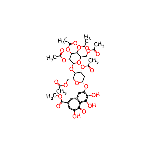 COC(=O)c1cc(O)c(=O)c2c(O)c(O)c(O[C@H]3C[C@@H](OC(C)=O)[C@H](O[C@@H]4O[C@H](COC(C)=O)[C@H](OC(C)=O)[C@H](OC(C)=O)[C@H]4OC(C)=O)[C@@H](COC(C)=O)O3)cc2c1